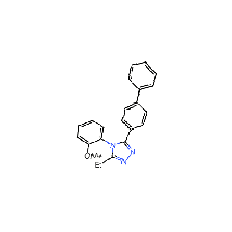 CCc1nnc(-c2ccc(-c3ccccc3)cc2)n1-c1ccccc1OC